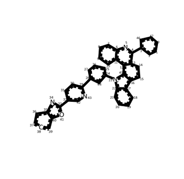 c1ccc(-c2nc3ccccc3c3c2ccc2c4ccccc4n(-c4cccc(-c5ccc(-c6nc7ccccc7o6)cn5)c4)c23)cc1